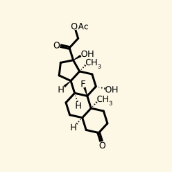 CC(=O)OCC(=O)[C@@]1(O)CC[C@H]2[C@@H]3CC[C@@H]4CC(=O)CC[C@]4(C)[C@@]3(F)[C@@H](O)C[C@@]21C